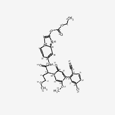 CCOC(=O)Oc1cn2ccc(NC(=O)C(CCOC)n3cc(OC)c(-c4cc(Cl)ccc4C#N)cc3=O)cc2n1